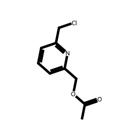 CC(=O)OCc1cccc(CCl)n1